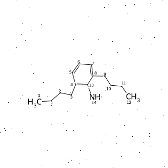 CCCCc1cccc(CCCC)c1[NH]